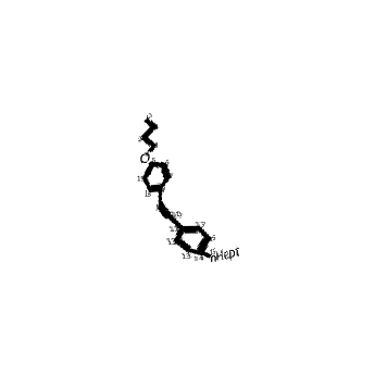 CC=CCOc1ccc(C#Cc2ccc(CCCCCCC)cc2)cc1